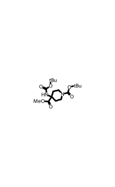 COC(=O)C1(NC(=O)OC(C)(C)C)CCN(C(=O)OC(C)(C)C)CC1